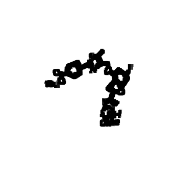 COC1Nn2cc(-c3cc4c(OCc5nc(-c6ccc(C(=O)OC(C)(C)C)cc6)sc5C)cc(F)cc4o3)nc2S1